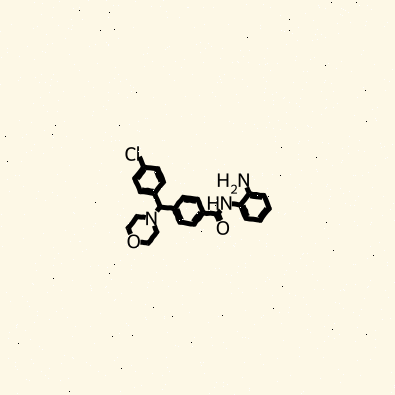 Nc1ccccc1NC(=O)c1ccc(C(c2ccc(Cl)cc2)N2CCOCC2)cc1